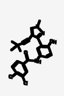 Cn1cc(C#CC(C)(C)C)c(-c2cc(NC(=O)c3ccc(Cl)c(Cl)c3)ccc2O)n1